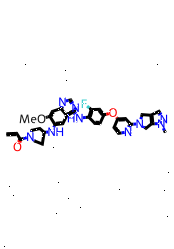 C=CC(=O)N1CCC(Nc2cc3c(Nc4ccc(Oc5ccnc(N6Cc7cnn(C)c7C6)c5)cc4F)ncnc3cc2OC)CC1